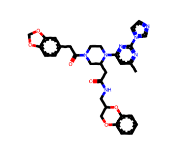 Cc1cc(N2CCN(C(=O)Cc3ccc4c(c3)OCO4)CC2CC(=O)NCC2COc3ccccc3O2)nc(-n2ccnc2)n1